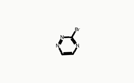 Brc1nccnn1